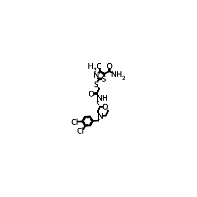 Cc1nc(SCC(=O)NC[C@H]2CN(Cc3ccc(Cl)c(Cl)c3)CCO2)sc1C(N)=O